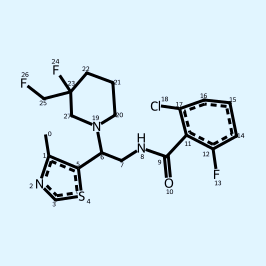 Cc1ncsc1C(CNC(=O)c1c(F)cccc1Cl)N1CCCC(F)(CF)C1